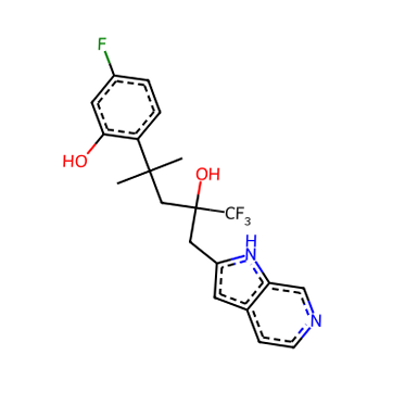 CC(C)(CC(O)(Cc1cc2ccncc2[nH]1)C(F)(F)F)c1ccc(F)cc1O